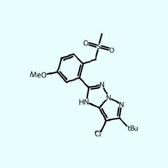 COc1ccc(CS(C)(=O)=O)c(-c2nn3nc(C(C)(C)C)c(Cl)c3[nH]2)c1